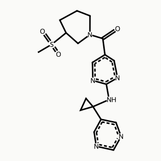 CS(=O)(=O)C1CCCN(C(=O)c2cnc(NC3(c4cncnc4)CC3)nc2)C1